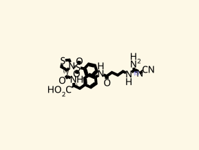 N#C/N=C(\N)NCCCC(=O)Nc1ccc(C[C@H](NC(=O)[C@@H]2CSCN2S(=O)(=O)c2ccccc2)C(=O)O)cc1